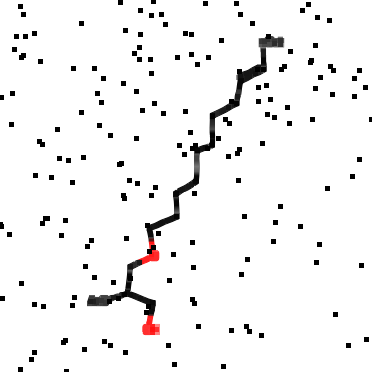 CCCCCCCCC=CCCCCCCCCOCC(CO)OC(C)=O